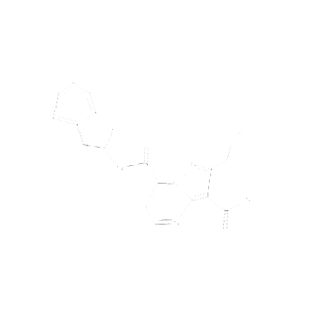 COCc1nn2c(C(=O)NC3Cc4ccccc4C3)ccnc2c1C(N)=O